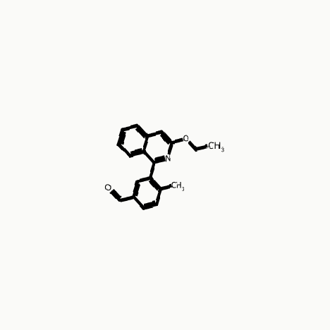 CCOc1cc2ccccc2c(-c2cc(C=O)ccc2C)n1